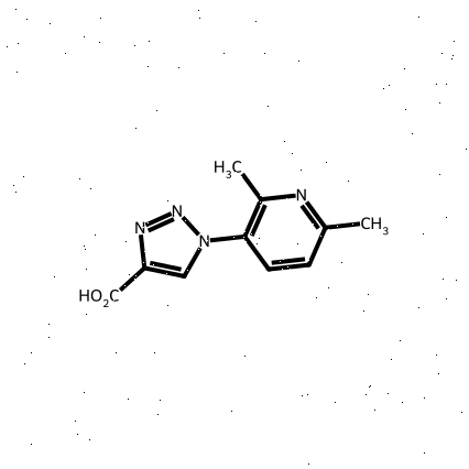 Cc1ccc(-n2cc(C(=O)O)nn2)c(C)n1